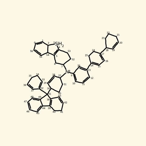 C1=CC2[SiH2]C3=C(CC(N(c4cccc(C5=CC=C(C6C=CCCC6)CC5)c4)C4C=CC(C5(C6=CCCC=C6)C6=C(CCC=C6)c6ccccc65)CC4)CC3)C2C=C1